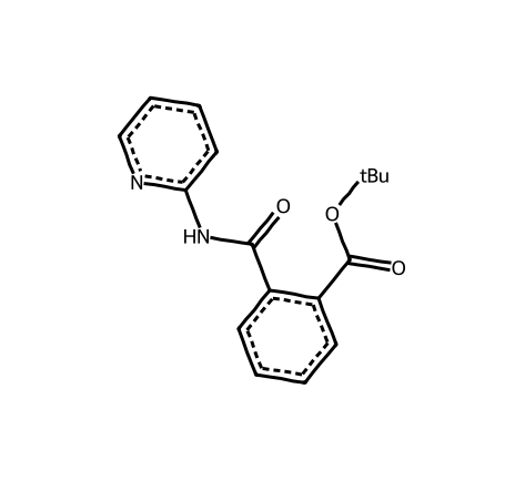 CC(C)(C)OC(=O)c1ccccc1C(=O)Nc1ccccn1